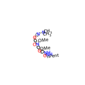 CCCCCNC(=O)Nc1ccc(Oc2ccc(N(CCOC)C(=O)c3ccc(OC4CCN(CCCN(C)C)CC4)cc3)cc2)c(OC)c1